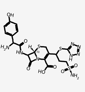 NC(C(=O)NC1C(=O)N2C(C(=O)O)=C(C(CCS(N)(=O)=O)Sc3nnn[nH]3)CS[C@@H]12)c1ccc(O)cc1